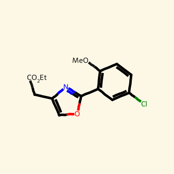 CCOC(=O)Cc1coc(-c2cc(Cl)ccc2OC)n1